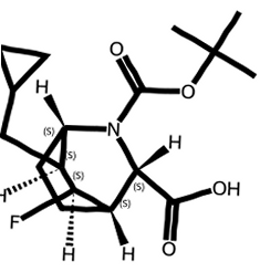 CC(C)(C)OC(=O)N1[C@H](C(=O)O)[C@@H]2CC[C@H]1[C@H](CC1CC1)[C@@H]2F